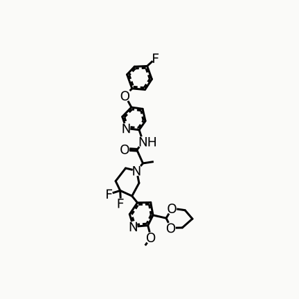 COc1ncc(C2CN(C(C)C(=O)Nc3ccc(Oc4ccc(F)cc4)cn3)CCC2(F)F)cc1C1OCCCO1